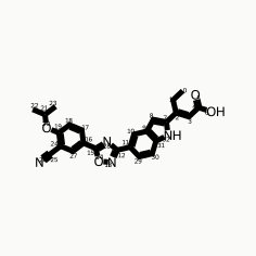 CC/C(=C\C(=O)O)c1cc2cc(-c3noc(-c4ccc(OC(C)C)c(C#N)c4)n3)ccc2[nH]1